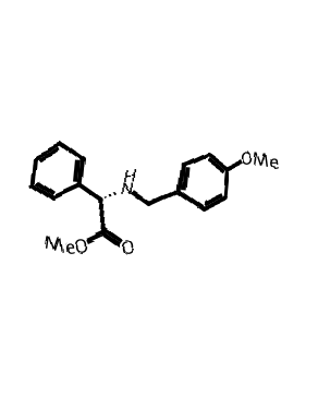 COC(=O)[C@@H](NCc1ccc(OC)cc1)c1ccccc1